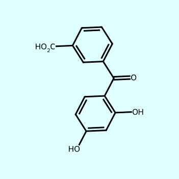 O=C(O)c1cccc(C(=O)c2ccc(O)cc2O)c1